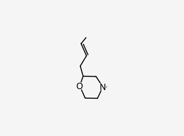 CC=CCC1C[N]CCO1